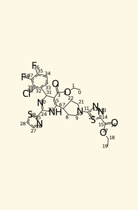 CCOC(=O)C1=C(C2CCN(c3nnc(C(=O)OCC)s3)CC2)NC(c2nccs2)=NC1c1ccc(F)c(F)c1Cl